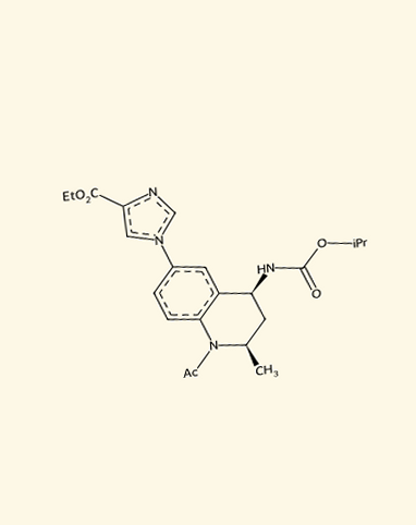 CCOC(=O)c1cn(-c2ccc3c(c2)[C@@H](NC(=O)OC(C)C)C[C@@H](C)N3C(C)=O)cn1